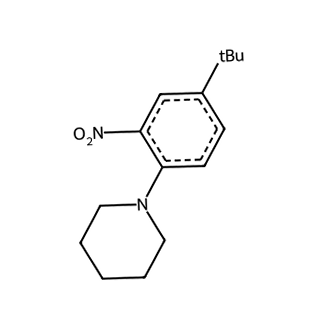 CC(C)(C)c1ccc(N2CCCCC2)c([N+](=O)[O-])c1